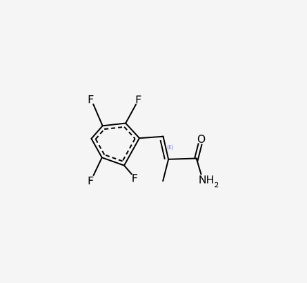 C/C(=C\c1c(F)c(F)cc(F)c1F)C(N)=O